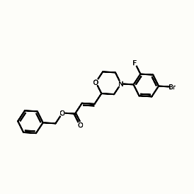 O=C(/C=C/C1CN(c2ccc(Br)cc2F)CCO1)OCc1ccccc1